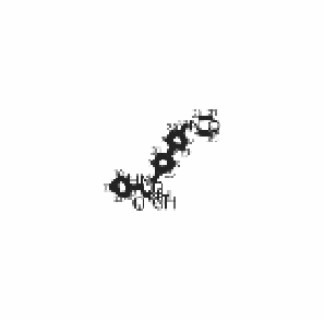 O=C(NC(C(=O)NO)c1ccccc1)c1ccc(-c2ccc(CN3CCOCC3)cc2)cc1